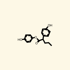 CCCC(C(=O)Oc1ccc(O)cc1)c1ccc(O)cc1